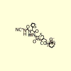 N#CCNC(=O)NC(C(=O)N[C@H]1C(=O)N2C(C(=O)O)=C(CSc3cccn[n+]3[O-])CSC12)c1cccs1